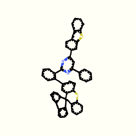 c1ccc(-c2cc(-c3ccc4c(c3)sc3ccccc34)nc(-c3ccccc3-c3ccc4c(c3)C3(c5ccccc5S4)c4ccccc4-c4ccccc43)n2)cc1